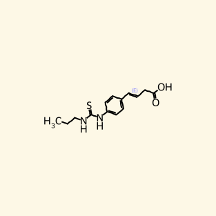 CCCNC(=S)Nc1ccc(/C=C/CC(=O)O)cc1